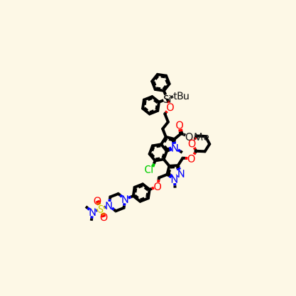 COC(=O)c1c(CCCO[Si](c2ccccc2)(c2ccccc2)C(C)(C)C)c2ccc(Cl)c(-c3c(COC4CCCCO4)nn(C)c3COc3ccc(N4CCN(S(=O)(=O)N(C)C)CC4)cc3)c2n1C